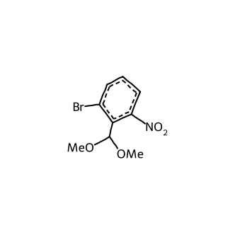 COC(OC)c1c(Br)cccc1[N+](=O)[O-]